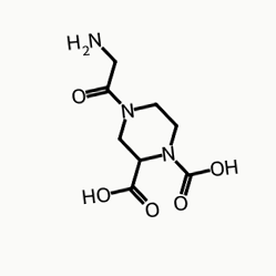 NCC(=O)N1CCN(C(=O)O)C(C(=O)O)C1